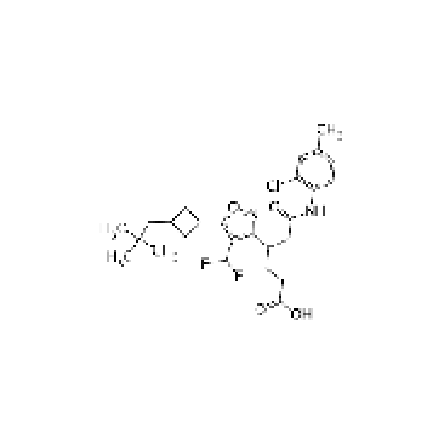 Cc1ccc(NC(=O)CC(CCC(=O)O)c2noc(C3CC(CC(C)(C)C)C3)c2C(F)F)c(Cl)c1